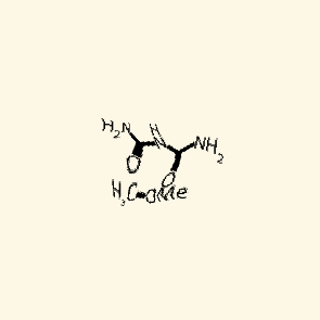 COC.NC(=O)NC(N)=O